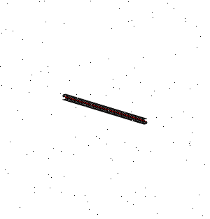 S=S=S=S=S=S=S=S=S=S=S=S=S=S=S=S=S=S=S=S=S=S=S=S=S=S=S=S=S=S=S=S=S=S=S=S=S=S=S=S=S=S=S=S=S=S=S=S=S=S=S=S=S=S=S=S=S=S=S=S=S=S=S=S=S=S=S=S=S=S=S=S=S=S=S=S=S=S=S=S=S=S=S=S=S=S=S=S=S=S=S=S=S=S